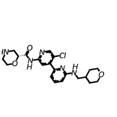 O=C(Nc1cc(-c2cccc(NCC3CCOCC3)n2)c(Cl)cn1)[C@H]1CNCCO1